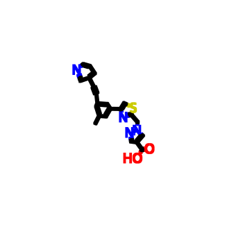 Cc1cc(C#Cc2cccnc2)cc(-c2csc(Cn3cc(C(=O)O)cn3)n2)c1